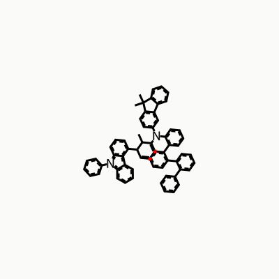 CC1C(N(c2ccc3c(c2)-c2ccccc2C3(C)C)c2ccccc2-c2ccccc2-c2ccccc2-c2ccccc2)=CC=CC1c1cccc2c1c1ccccc1n2-c1ccccc1